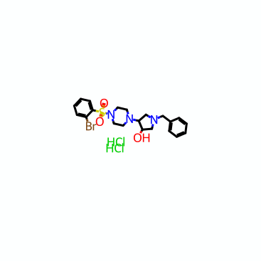 Cl.Cl.O=S(=O)(c1ccccc1Br)N1CCN(C2CN(Cc3ccccc3)CC2O)CC1